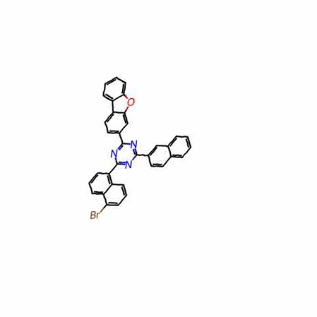 Brc1cccc2c(-c3nc(-c4ccc5ccccc5c4)nc(-c4ccc5c(c4)oc4ccccc45)n3)cccc12